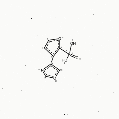 O=P(O)(O)c1occc1-c1cocn1